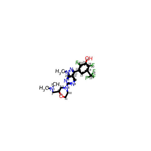 CN(C)CC1CN(c2ncc3c(-c4cc(C(F)(F)F)c(F)c(O)c4F)nn(C)c3n2)CCO1